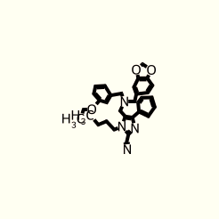 CCCCn1c(C#N)nc(-c2ccccc2)c1CN(Cc1cccc(OCC)c1)Cc1ccc2c(c1)OCO2